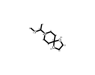 CSC(C)N1CCC2(CC1)OCCO2